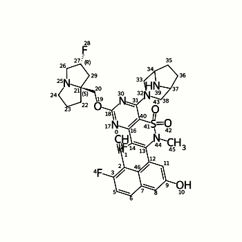 C#Cc1c(F)ccc2cc(O)cc(C3=C(F)c4nc(OC[C@@]56CCCN5C[C@H](F)C6)nc(N5CC6CCC(C5)N6)c4S(=O)(=O)N3C)c12